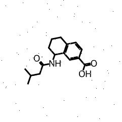 CC(C)CC(=O)NC1CCCc2ccc(C(=O)O)cc21